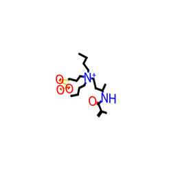 C=C(C)C(=O)NC(C)CC[N+](CCCC)(CCCC)CCCS(=O)(=O)[O-]